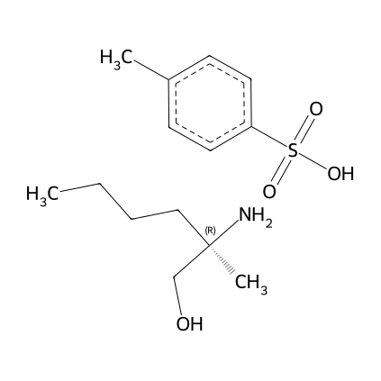 CCCC[C@@](C)(N)CO.Cc1ccc(S(=O)(=O)O)cc1